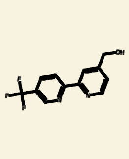 OCc1ccnc(-c2ccc(C(F)(F)F)cn2)c1